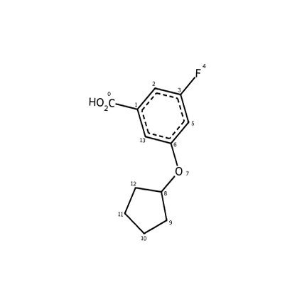 O=C(O)c1cc(F)cc(OC2CCCC2)c1